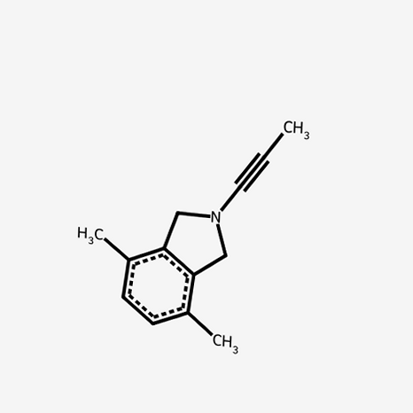 CC#CN1Cc2c(C)ccc(C)c2C1